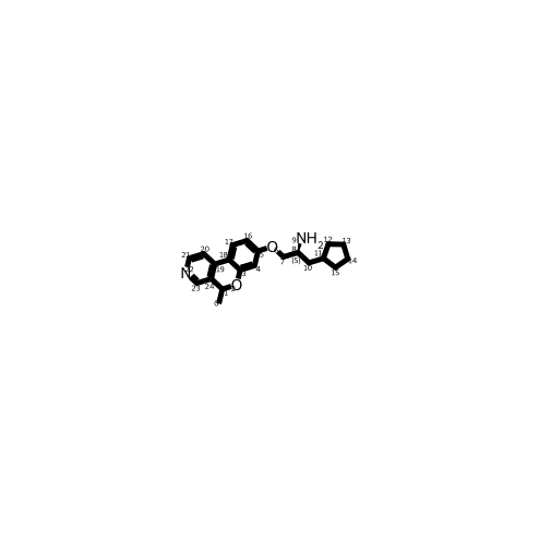 CC1Oc2cc(OC[C@@H](N)CC3CCCC3)ccc2-c2ccncc21